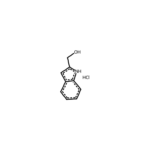 Cl.OCc1cc2ccccc2[nH]1